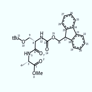 COC(=O)[C@H](C)NC(=O)[C@H](COC(C)(C)C)NC(=O)OCC1c2ccccc2-c2ccccc21